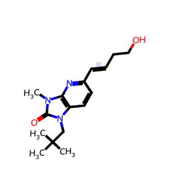 Cn1c(=O)n(CC(C)(C)C)c2ccc(/C=C/CCO)nc21